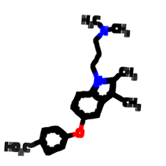 Cc1c(C)n(CCCN(C)C)c2ccc(Oc3ccc(C(=O)O)cc3)cc12